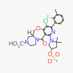 Cc1cccc(-c2nc(N3CC(OS(C)(=O)=O)CC3(C)C)c3c(c2Cl)OC[C@H]2CN(C(=O)O)CCN2C3=O)c1F